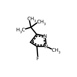 Cn1nc(C(C)(C)C)cc1F